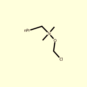 CCCC[Si](C)(C)OCCl